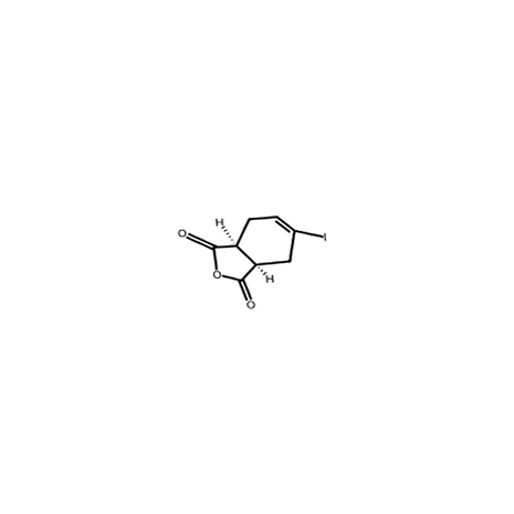 O=C1OC(=O)[C@@H]2CC(I)=CC[C@H]12